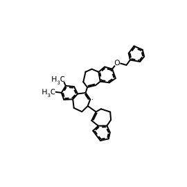 Cc1cc2c(cc1C)C(C1=Cc3ccc(OCc4ccccc4)cc3CCC1)=[C]C(C1=Cc3ccccc3CCC1)CC2